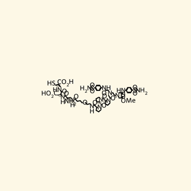 COC(=O)CN(CCN(CC(=O)Nc1ccc(S(N)(=O)=O)cc1)CC(=O)N1CCC[C@H]1C(=O)N1CCC[C@H]1C(=O)N1CCCC1C(=O)NCCOCCCC(=O)NC[C@@H](N)C(=O)N[C@@H](CC(=O)O)C(=O)NC[C@H](CS)C(=O)O)CC(=O)Nc1ccc(S(N)(=O)=O)cc1